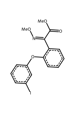 CON=C(C(=O)OC)c1ccccc1Oc1cccc(I)c1